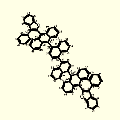 c1ccc(-c2c(-c3c4ccccc4c(-c4ccc(-c5ccc(-c6c7ccccc7c(-c7oc8ccccc8c7-c7ccccc7)c7ccccc67)c6ccccc56)c5ccccc45)c4ccccc34)oc3ccccc23)cc1